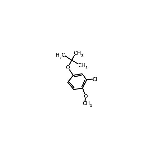 COc1ccc(OC(C)(C)C)cc1Cl